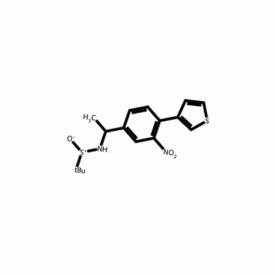 CC(N[S+]([O-])C(C)(C)C)c1ccc(-c2ccsc2)c([N+](=O)[O-])c1